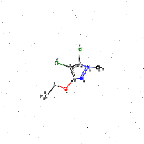 CCOc1nn(C)c(Cl)c1Cl